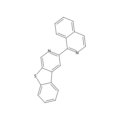 c1ccc2c(-c3cc4c(cn3)sc3ccccc34)nccc2c1